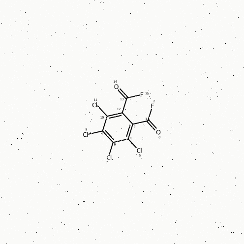 O=C(F)c1c(Cl)c(Cl)c(Cl)c(Cl)c1C(=O)F